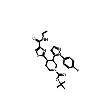 CCNC(=O)c1csc(C2CCN(C(=O)OC(C)(C)C)CC2c2ccnn2-c2ccc(F)cc2)n1